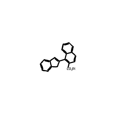 CCOC(=O)c1ccc2ccccc2c1C1=Cc2ccccc2C1